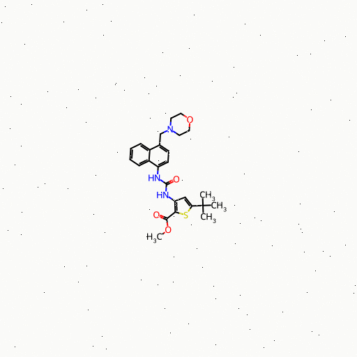 COC(=O)c1sc(C(C)(C)C)cc1NC(=O)Nc1ccc(CN2CCOCC2)c2ccccc12